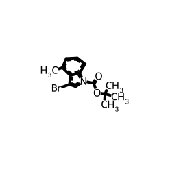 Cc1cccc2c1c(Br)cn2C(=O)OC(C)(C)C